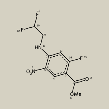 COC(=O)c1cc([N+](=O)[O-])c(NCC(F)F)cc1F